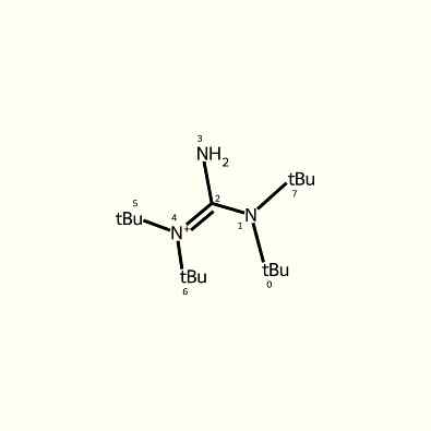 CC(C)(C)N(C(N)=[N+](C(C)(C)C)C(C)(C)C)C(C)(C)C